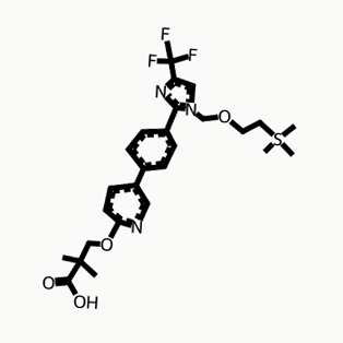 CC(C)(COc1ccc(-c2ccc(-c3nc(C(F)(F)F)cn3COCCS(C)(C)C)cc2)cn1)C(=O)O